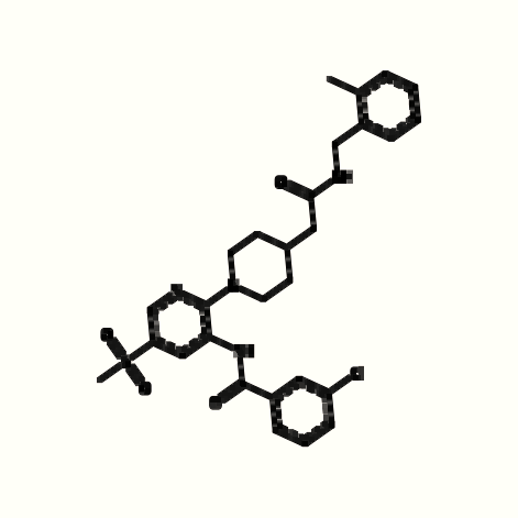 Cc1ccccc1CNC(=O)CC1CCN(c2ncc(S(C)(=O)=O)cc2NC(=O)c2cccc(Cl)c2)CC1